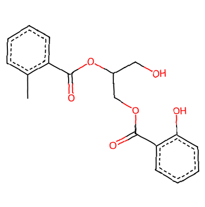 Cc1ccccc1C(=O)OC(CO)COC(=O)c1ccccc1O